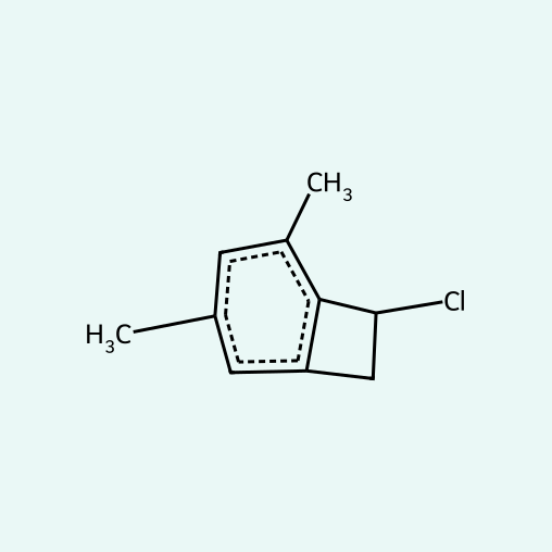 Cc1cc(C)c2c(c1)CC2Cl